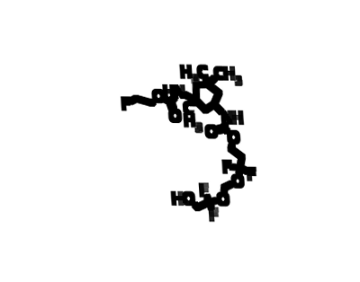 CC1(C)CC(NC(=O)OCCC(F)(F)OCOC(F)(F)CO)CC(C)(NC(=O)OCCF)C1